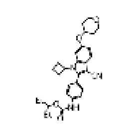 CCC(CC)OC(=O)Nc1ccc(-c2c(C#N)c3ccc(OC4CCOCC4)cc3n2C2CCC2)cc1